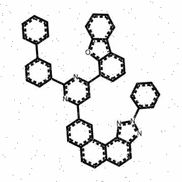 c1ccc(-c2cccc(-c3nc(-c4ccc5ccc6ccc7nn(-c8ccccc8)nc7c6c5c4)cc(-c4cccc5c4oc4ccccc45)n3)c2)cc1